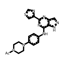 CC(=O)N1CCN(c2ccc(Nc3nc(-c4cscn4)nc4cn[nH]c34)cc2)CC1